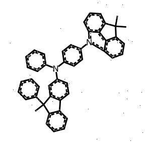 CC1(C)c2cccc3c2c2c1cccc2n3-c1ccc(N(c2ccccc2)c2ccc3c(c2)C(C)(c2ccccc2)c2ccccc2-3)cc1